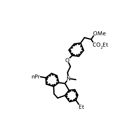 CCCc1ccc2c(c1)CCc1cc(CC)ccc1C2N(C)CCOc1ccc(CC(OC)C(=O)OCC)cc1